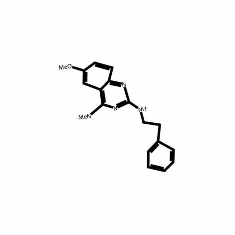 CNc1nc(NCCc2ccccc2)nc2ccc(OC)cc12